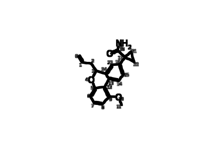 C=CCC1Oc2cccc(OC)c2-c2ccc(C3(C(N)=O)CC3)cc21